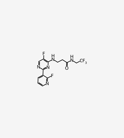 O=C(CCNc1nc(-c2cccnc2F)ncc1F)NCC(F)(F)F